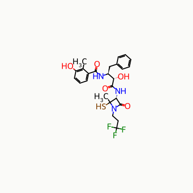 Cc1c(O)cccc1C(=O)N[C@@H](Cc1ccccc1)[C@H](O)C(=O)N[C@@H]1C(=O)N(CCC(F)(F)F)C1(C)S